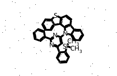 C[Si]1(C)c2ccccc2-c2nc(-c3ccccc3)nc(-n3c4ccccc4c4ccc5sc6ccccc6c5c43)c21